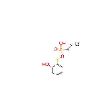 CCC=CP(=O)(O)OSc1ccccc1O